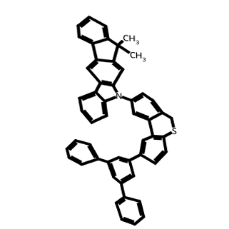 CC1(C)c2ccccc2-c2cc3c4ccccc4n(-c4ccc5c(c4)-c4cc(-c6cc(-c7ccccc7)cc(-c7ccccc7)c6)ccc4SC5)c3cc21